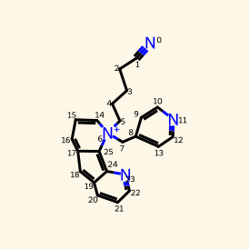 N#CCCCC[N+]1(Cc2ccncc2)C=CC=C2C=c3cccnc3=C21